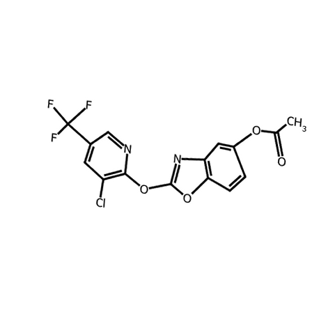 CC(=O)Oc1ccc2oc(Oc3ncc(C(F)(F)F)cc3Cl)nc2c1